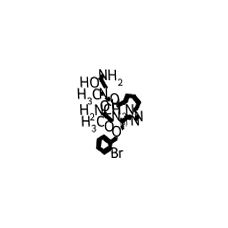 CN(CC(N)O)C(=O)OCc1cccc2nnc([C@@H](COCc3ccccc3Br)NC(=O)C(C)(C)N)n12